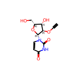 C#CO[C@@H]1[C@@H](O)[C@@H](CO)O[C@H]1n1ccc(=O)[nH]c1=O